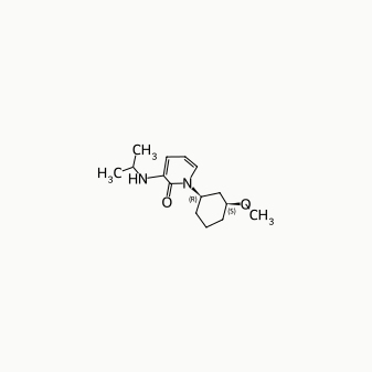 CO[C@H]1CCC[C@@H](n2cccc(NC(C)C)c2=O)C1